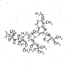 C=C[C@@H]1C[C@]1(NC(=O)[C@@H]1[C@H](C)[C@@H](Oc2cc(-c3nc(C(C)C)cs3)nc3c(C)c(OC)ccc23)CN1C(=O)OC(C)(C)C)C(=O)NS(=O)(=O)C1(C)CC1